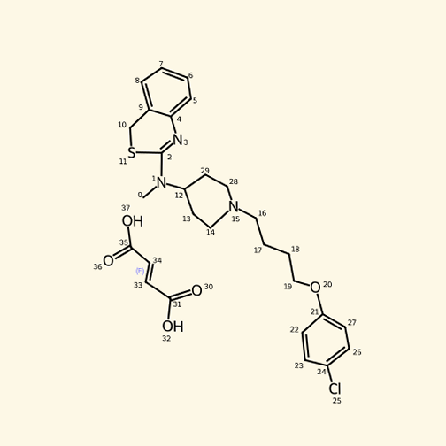 CN(C1=Nc2ccccc2CS1)C1CCN(CCCCOc2ccc(Cl)cc2)CC1.O=C(O)/C=C/C(=O)O